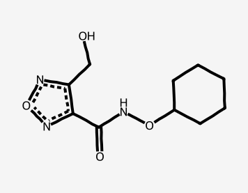 O=C(NOC1CCCCC1)c1nonc1CO